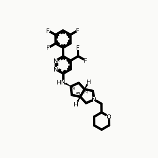 Fc1cc(F)c(F)c(-c2nnc(N[C@H]3C[C@@H]4CN(CC5CCCCO5)C[C@@H]4C3)cc2C(F)F)c1